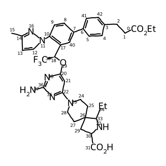 CCOC(=O)CCc1ccc(-c2ccc(-n3ccc(C)n3)c([C@@H](Oc3cc(N4CCC5(CC4)CC(C(=O)O)NC5CC)nc(N)n3)C(F)(F)F)c2)cc1